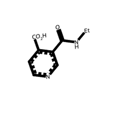 CCNC(=O)c1cnccc1C(=O)O